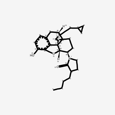 CCCCC1CCN([C@@H]2CCC3(O)[C@H]4Cc5ccc(O)c6c5[C@@]3(CCN4CC3CC3)[C@H]2O6)C1=O